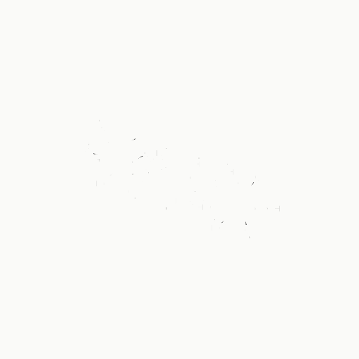 O=C(O[C@]1(O)[C@H](O)[C@H](O)[C@@H](O)[C@H](O)[C@H]1O)C(O)C(O)C(=O)O[C@]1(O)[C@H](O)[C@H](O)[C@@H](O)[C@H](O)[C@H]1O